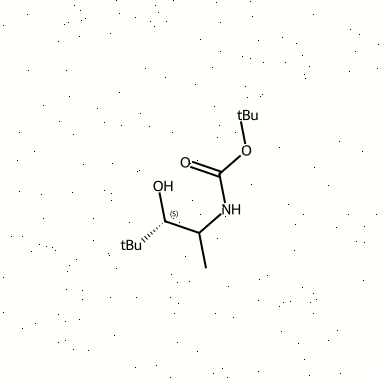 CC(NC(=O)OC(C)(C)C)[C@@H](O)C(C)(C)C